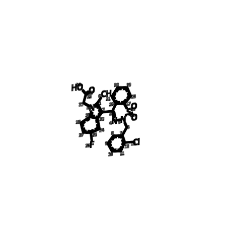 Cc1c(C2=NN(Cc3ccccc3Cl)S(=O)(=O)c3ccccc32)c2cc(F)ccc2n1CC(=O)O